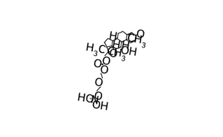 C[C@]12C=CC(=O)C=C1CC[C@@H]1[C@@H]2[C@@H](O)C[C@@]2(C)[C@H]1CC[C@]2(C)C(=O)COC(=O)OCCOCCON(O)O